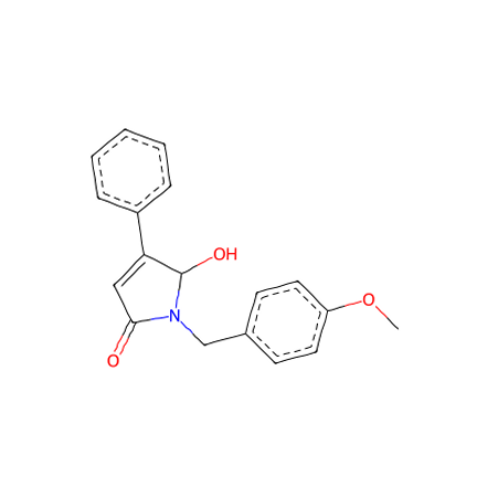 COc1ccc(CN2C(=O)C=C(c3ccccc3)C2O)cc1